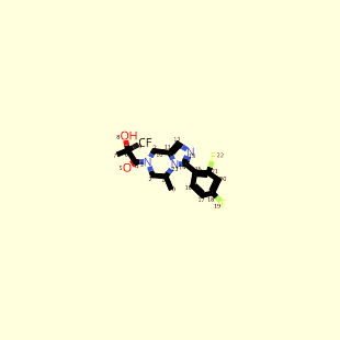 CC1CN(C(=O)C(C)(O)C(F)(F)F)Cc2cnc(-c3ccc(F)cc3F)n21